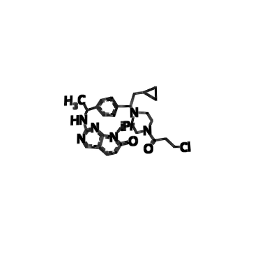 CC(Nc1ncc2ccc(=O)n(C(C)C)c2n1)c1ccc(C(CC2CC2)N2CCN(C(=O)CCCl)CC2)cc1